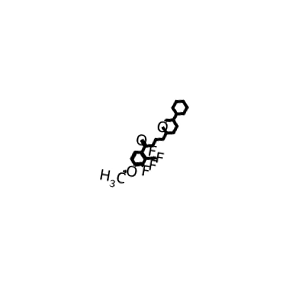 CCOc1ccc(C(=O)CCCC2CCC(C3CCCCC3)CO2)c(C(F)(F)F)c1F